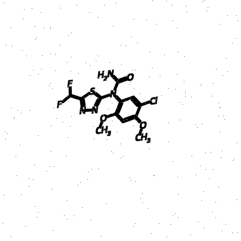 COc1cc(OC)c(N(C(N)=O)c2nnc(C(F)F)s2)cc1Cl